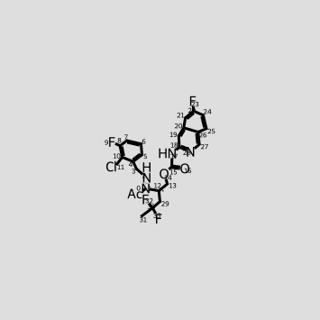 CC(=O)N(NCc1cccc(F)c1Cl)[C](COC(=O)Nc1cc2cc(F)ccc2cn1)CC(C)(F)F